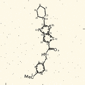 COc1ccc(CNC(=O)c2cc3nc(N4CCCCC4)sc3s2)cc1